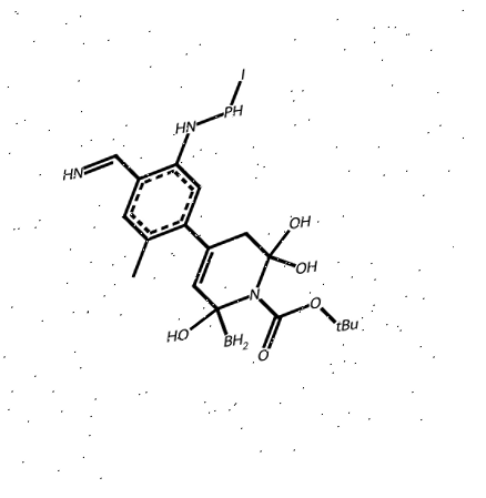 BC1(O)C=C(c2cc(NPI)c(C=N)cc2C)CC(O)(O)N1C(=O)OC(C)(C)C